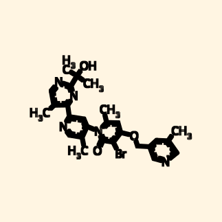 Cc1cncc(COc2cc(C)n(-c3cc(-c4nc(C(C)(C)O)ncc4C)ncc3C)c(=O)c2Br)c1